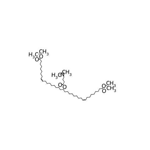 CC(C)OC(=O)CCCCCCC/C=C\CCCCCCCCC(CCCCCCCC/C=C\CCCCCCCC(=O)OC(C)C)OC(=O)CCCN(C)C